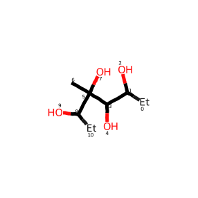 CCC(O)C(O)C(C)(O)C(O)CC